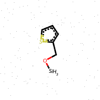 [SiH3]OCc1cccs1